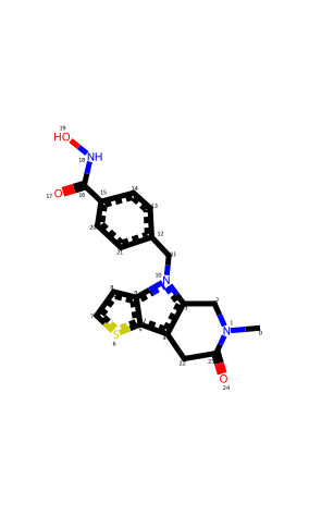 CN1Cc2c(c3sccc3n2Cc2ccc(C(=O)NO)cc2)CC1=O